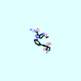 CCOc1cc2c(cn1)c(C(N)=O)nn2-c1cccc(C#C[C@]2(O)CCN(C)C2=O)c1